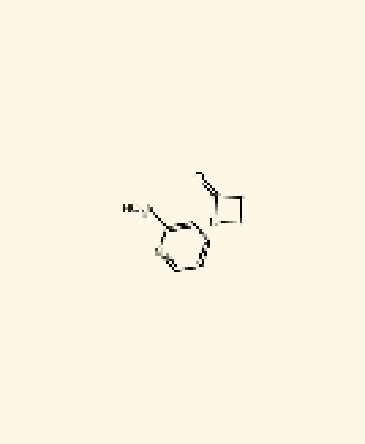 O=C1CCO1.O=S(=O)(O)c1ccccn1